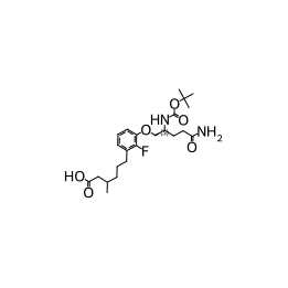 CC(CCCc1cccc(OC[C@H](CCC(N)=O)NC(=O)OC(C)(C)C)c1F)CC(=O)O